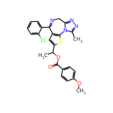 COc1ccc(C(=O)OC(C)c2cc3c(s2)-n2c(C)nnc2CN=C3c2ccccc2Cl)cc1